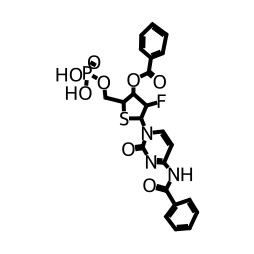 O=C(Nc1ccn(C2SC(COP(=O)(O)O)C(OC(=O)c3ccccc3)C2F)c(=O)n1)c1ccccc1